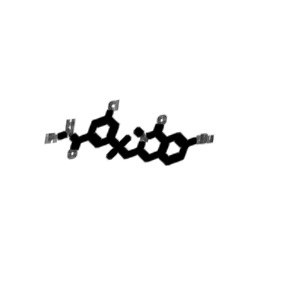 CC(C)NC(=O)c1cc(Cl)cc(C(C)(C)CC2Cc3ccc(C(C)(C)C)cc3C(=O)N2C)c1